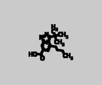 CCCCc1cc(C(=O)O)cc2nnc(C(C)(C)C)n12